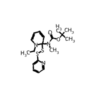 CCN1C=CC=CC1(SSc1ccccn1)N(C)C(=O)OC(C)(C)C